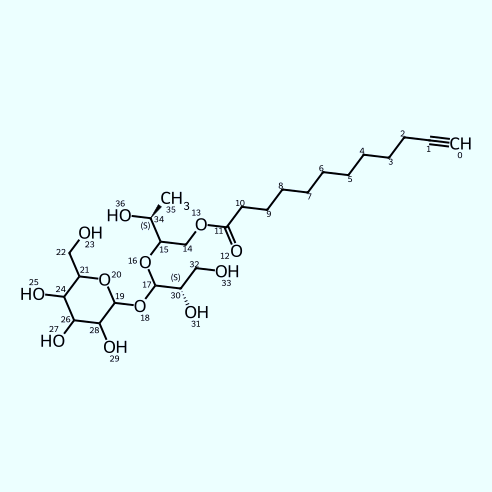 C#CCCCCCCCCCC(=O)OCC(OC(OC1OC(CO)C(O)C(O)C1O)[C@@H](O)CO)[C@H](C)O